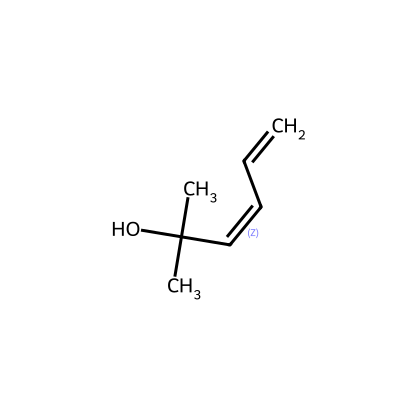 C=C/C=C\C(C)(C)O